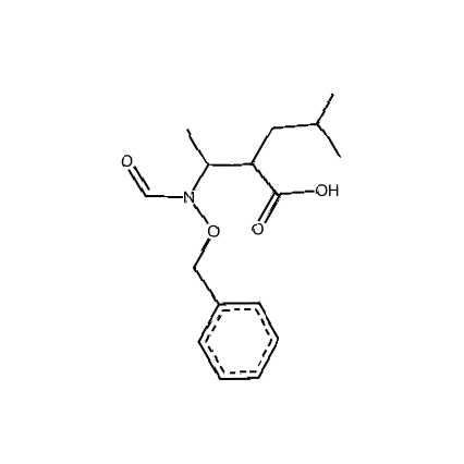 CC(C)CC(C(=O)O)C(C)N(C=O)OCc1ccccc1